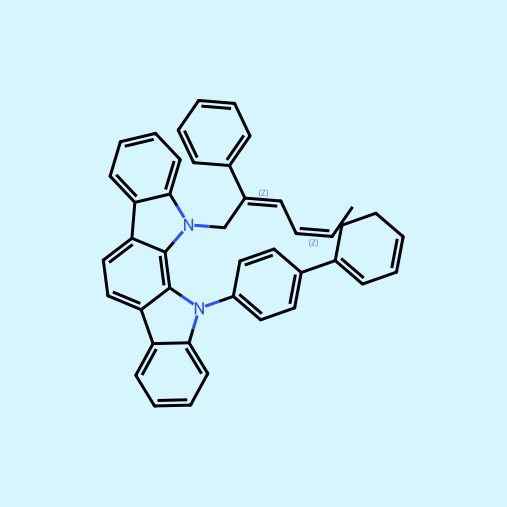 C/C=C\C=C(/Cn1c2ccccc2c2ccc3c4ccccc4n(-c4ccc(C5=CC=CCC5)cc4)c3c21)c1ccccc1